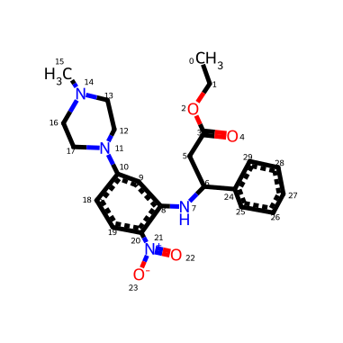 CCOC(=O)CC(Nc1cc(N2CCN(C)CC2)ccc1[N+](=O)[O-])c1ccccc1